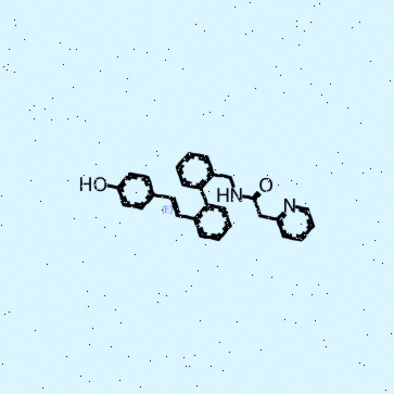 O=C(Cc1ccccn1)NCc1ccccc1-c1ccccc1/C=C/c1ccc(O)cc1